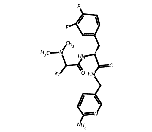 CC(C)C(C(=O)N[C@@H](Cc1ccc(F)c(F)c1)C(=O)NCc1ccc(N)nc1)N(C)C